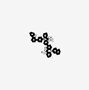 CC1(C)c2ccccc2N(c2ccc(-c3cccc4c3oc3ccccc34)cc2)c2ccc(-c3ccc4c(c3)C(C)(C)c3ccccc3N4c3ccc4ccccc4c3)cc21